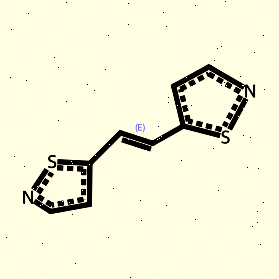 C(=C\c1ccns1)/c1ccns1